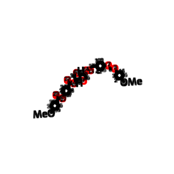 COc1ccc(OCOc2ccc(COO[C@H]3CO[C@@H]4C(OC(=O)c5ccc(OC(=O)c6ccc(OC)cc6)cc5)CO[C@H]34)cc2)cc1